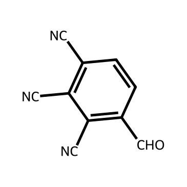 N#Cc1ccc(C=O)c(C#N)c1C#N